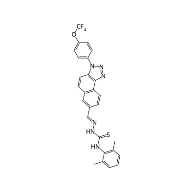 Cc1cccc(C)c1NC(=S)N/N=C/c1ccc2c(ccc3c2nnn3-c2ccc(OC(F)(F)F)cc2)c1